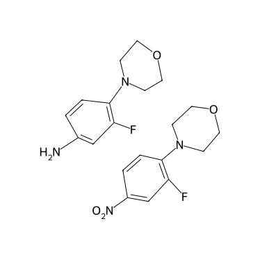 Nc1ccc(N2CCOCC2)c(F)c1.O=[N+]([O-])c1ccc(N2CCOCC2)c(F)c1